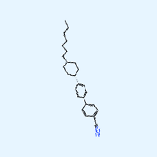 CCCCCCC[C@H]1CC[C@H](c2ccc(-c3ccc(C#N)cc3)cc2)CC1